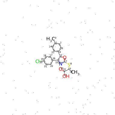 Cc1ccc(-c2oc(SC(C)C(=O)O)nc2-c2ccc(Cl)cc2)cc1